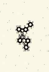 c1ccc(-c2ccc3c(c2)c2ccccc2n3-c2nc(-c3cccc4c3sc3ccccc34)c3ccccc3n2)cc1